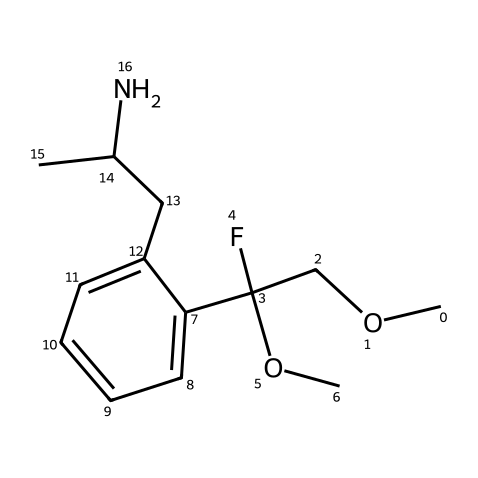 COCC(F)(OC)c1ccccc1CC(C)N